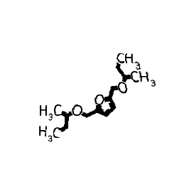 CCC(C)OCc1ccc(COC(C)CC)o1